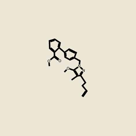 C=CCCc1nn(Cc2ccc(-c3ccccc3C(=O)OC)cc2)c(OC)c1C